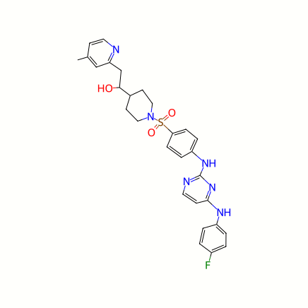 Cc1ccnc(CC(O)C2CCN(S(=O)(=O)c3ccc(Nc4nccc(Nc5ccc(F)cc5)n4)cc3)CC2)c1